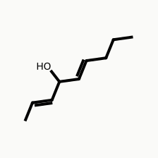 CC=CC(O)C=CCCC